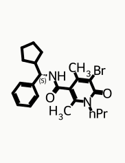 CCCn1c(C)c(C(=O)N[C@H](c2ccccc2)C2CCCC2)c(C)c(Br)c1=O